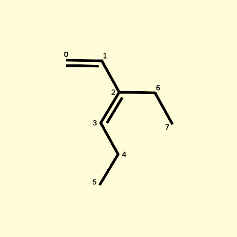 C=CC(=CCC)CC